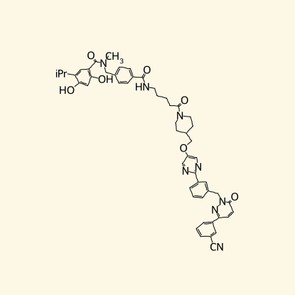 CC(C)c1cc(C(=O)N(C)Cc2ccc(C(=O)NCCCCC(=O)N3CCC(COc4cnc(-c5cccc(Cn6nc(-c7cccc(C#N)c7)ccc6=O)c5)nc4)CC3)cc2)c(O)cc1O